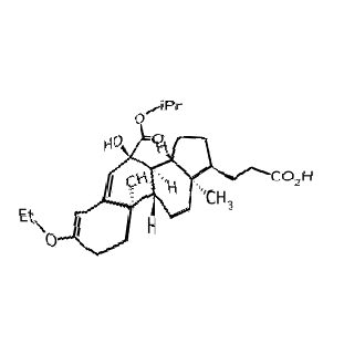 CCOC1=CC2=C[C@](O)(C(=O)OC(C)C)[C@H]3[C@@H]4CC[C@@H](CCC(=O)O)[C@@]4(C)CC[C@@H]3[C@@]2(C)CC1